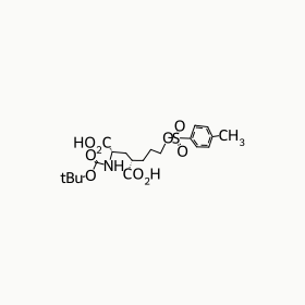 Cc1ccc(S(=O)(=O)OCCC[C@@H](C[C@H](NC(=O)OC(C)(C)C)C(=O)O)C(=O)O)cc1